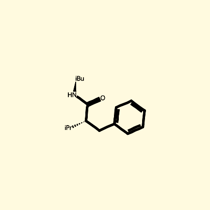 CC[C@H](C)NC(=O)[C@H](Cc1ccccc1)C(C)C